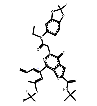 C=C/C=C(\C=C(/C)OC(F)(F)F)c1nn(CC(=O)N(CC)c2ccc3c(c2)OC(F)(F)O3)c(=O)c2cc(C(=O)NC(C)(C)C)oc12